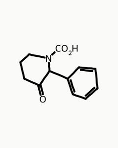 O=C1CCCN(C(=O)O)C1c1ccccc1